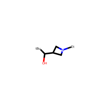 CCN1CC(C(O)C(C)(C)C)C1